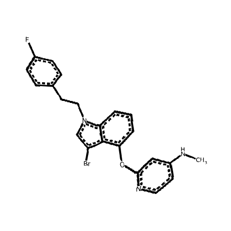 CNc1ccnc(Oc2cccc3c2c(Br)cn3CCc2ccc(F)cc2)c1